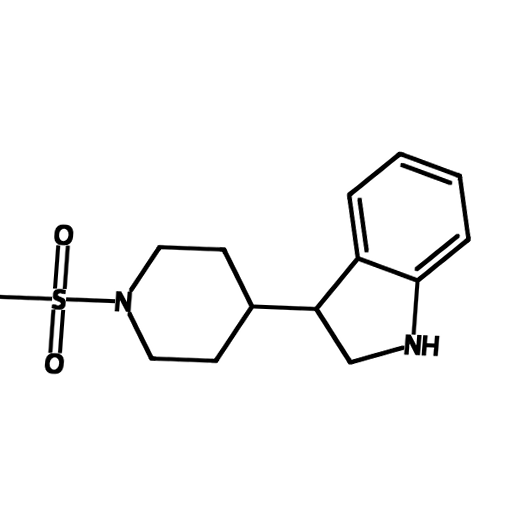 CS(=O)(=O)N1CCC(C2CNc3ccccc32)CC1